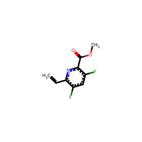 C=Cc1nc(C(=O)OC)c(F)cc1F